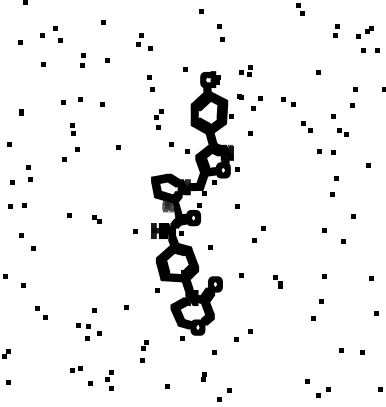 O=C(Nc1ccc(N2CCOCC2=O)cc1)[C@H]1CCCN1Cc1cc(-c2ccc(Cl)cc2)no1